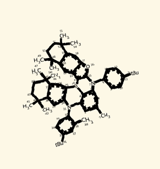 Cc1cc2c3c(c1)N(c1ccc(C(C)(C)C)cc1)c1oc4cc5c(cc4c1B3c1cc3c(cc1N2c1ccc(C(C)(C)C)cc1C)C(C)(C)CCC3(C)C)C(C)(C)CCC5(C)C